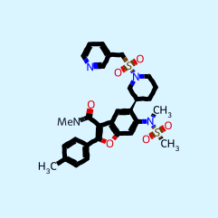 CNC(=O)c1c(-c2ccc(C)cc2)oc2cc(N(C)S(C)(=O)=O)c([C@@H]3CCCN(S(=O)(=O)Cc4cccnc4)C3)cc12